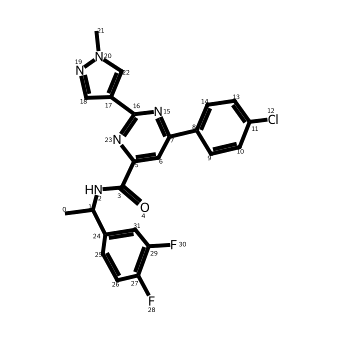 CC(NC(=O)c1cc(-c2ccc(Cl)cc2)nc(-c2cnn(C)c2)n1)c1ccc(F)c(F)c1